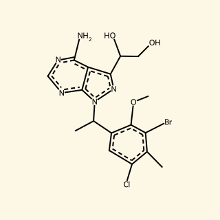 COc1c(C(C)n2nc(C(O)CO)c3c(N)ncnc32)cc(Cl)c(C)c1Br